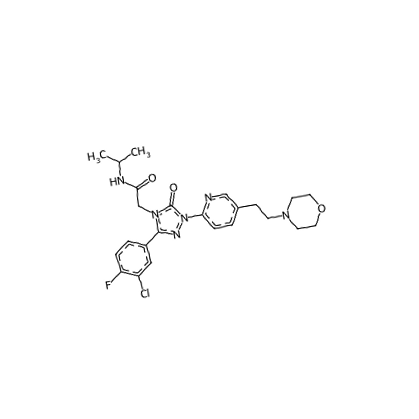 CC(C)NC(=O)Cn1c(-c2ccc(F)c(Cl)c2)nn(-c2ccc(CCN3CCOCC3)cn2)c1=O